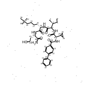 CC[C@H](C)C(NC(=O)[C@@H](NC(=O)c1ccc(-c2ccccc2)cc1)C1CC1)C(=O)N[C@@H](CCCC[N+](C)(C)C)C(=O)N[C@@H](CCO)C(N)=O